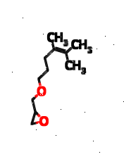 CC(C)=C(C)CCCOCC1CO1